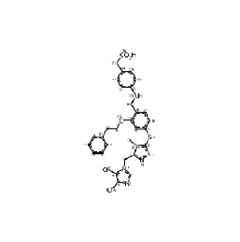 Cn1c(Cn2cnc(Cl)c2Cl)nnc1Sc1ccc(CNc2ccc(CC(=O)O)cc2)c(OCCc2ccccc2)c1